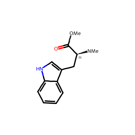 CN[C@@H](Cc1c[nH]c2ccccc12)C(=O)OC